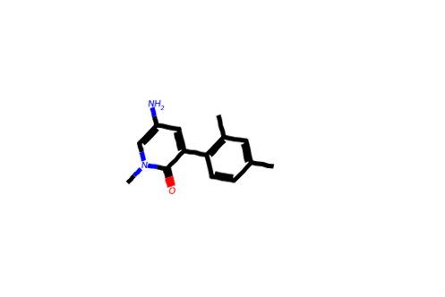 Cc1ccc(-c2cc(N)cn(C)c2=O)c(C)c1